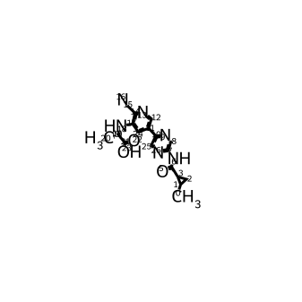 CC1CC1C(=O)Nc1cnc(-c2cnc(C#N)c(N[C@@H](C)C(=O)O)c2)cn1